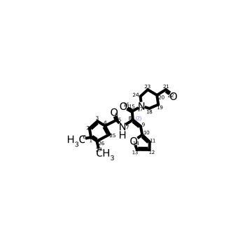 Cc1ccc(C(=O)N/C(=C\c2ccco2)C(=O)N2CCC(C=O)CC2)cc1C